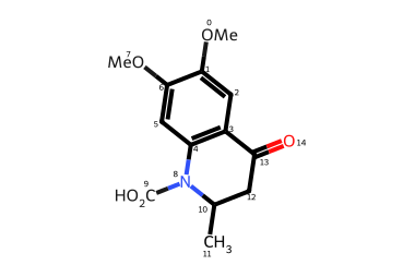 COc1cc2c(cc1OC)N(C(=O)O)C(C)CC2=O